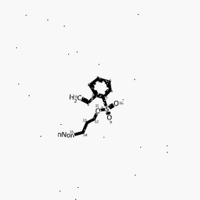 C=Cc1ccccc1S(=O)(=O)OCCCCCCCCCCCC